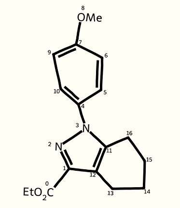 CCOC(=O)c1nn(-c2ccc(OC)cc2)c2c1CCCC2